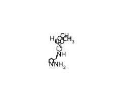 CC(C)(C)OC(=O)N1CCC(NCCc2cccnc2N)CC1